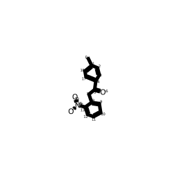 Cc1ccc(C(=O)Cc2ccccc2[N+](=O)[O-])cc1